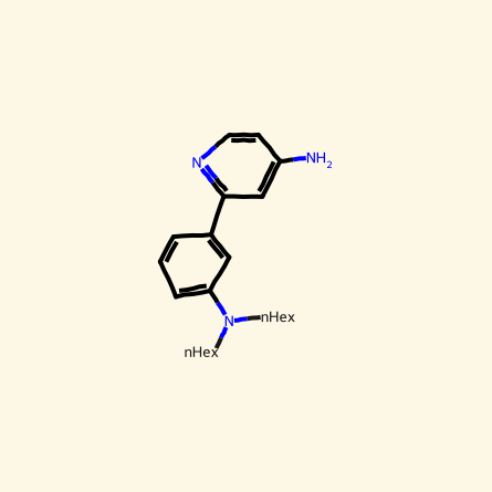 CCCCCCN(CCCCCC)c1cccc(-c2cc(N)ccn2)c1